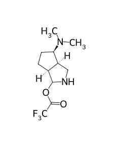 CN(C)[C@@H]1CC[C@@H]2C(OC(=O)C(F)(F)F)NC[C@@H]21